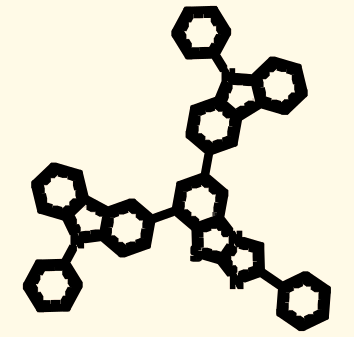 c1ccc(-c2cn3c(n2)sc2c(-c4ccc5c(c4)c4ccccc4n5-c4ccccc4)cc(-c4ccc5c(c4)c4ccccc4n5-c4ccccc4)cc23)cc1